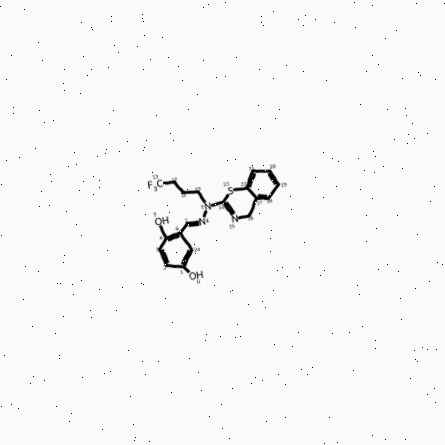 Oc1ccc(O)c(/C=N/N(CCCC(F)(F)F)C2=NCc3ccccc3S2)c1